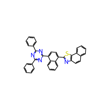 c1ccc(-c2nc(-c3ccccc3)nc(-c3ccc(-c4nc5ccc6ccccc6c5s4)c4ccccc34)n2)cc1